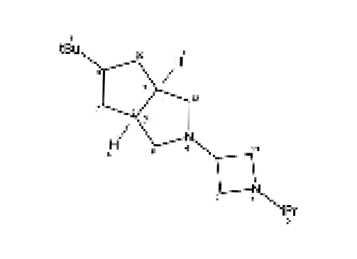 CC(C)N1CC(N2C[C@H]3CC(C(C)(C)C)C[C@H]3C2)C1